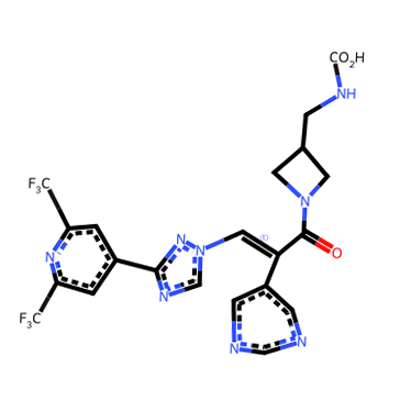 O=C(O)NCC1CN(C(=O)/C(=C/n2cnc(-c3cc(C(F)(F)F)nc(C(F)(F)F)c3)n2)c2cncnc2)C1